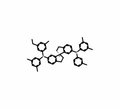 CCc1cc(C)cc(P(c2cc(C)cc(C)c2)c2ccc3c(c2)[C@]2(CCc4ccc(P(c5cccc(C)c5)c5cc(C)cc(C)c5)cc42)CC3)c1